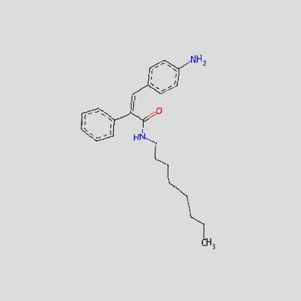 CCCCCCCCNC(=O)/C(=C\c1ccc(N)cc1)c1ccccc1